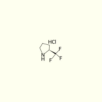 Cl.FC(F)(F)[C@@H]1CCCN1